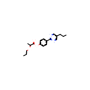 CCCOC(C)C(=O)Oc1ccc(-c2ncc(CCC)cn2)cc1